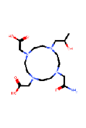 CC(O)CN1CCN(CC(N)=O)CCN(CC(=O)O)CCN(CC(=O)O)CC1